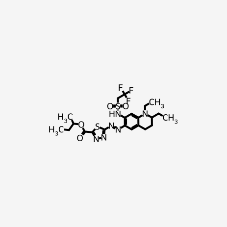 CCC(C)OC(=O)c1nnc(N=Nc2cc3c(cc2NS(=O)(=O)CC(F)(F)F)N(CC)C(CC)CC3)s1